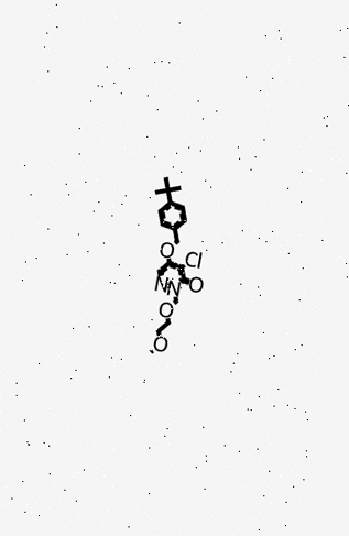 COCCOCn1ncc(OCc2ccc(C(C)(C)C)cc2)c(Cl)c1=O